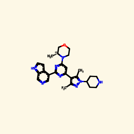 Cc1c(-c2cc(N3CCOC[C@H]3C)nc(-c3cncc4[nH]ccc34)n2)c(C(F)(F)F)nn1C1CCNCC1